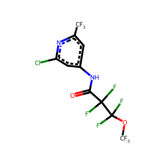 O=C(Nc1cc(Cl)nc(C(F)(F)F)c1)C(F)(F)C(F)(F)OC(F)(F)F